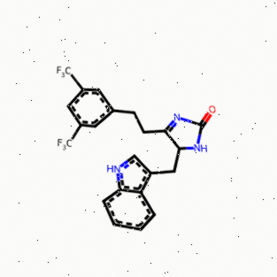 O=C1N=C(CCc2cc(C(F)(F)F)cc(C(F)(F)F)c2)C(Cc2c[nH]c3ccccc23)N1